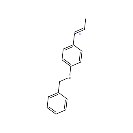 C/C=C/c1ccc(SCc2ccccc2)cc1